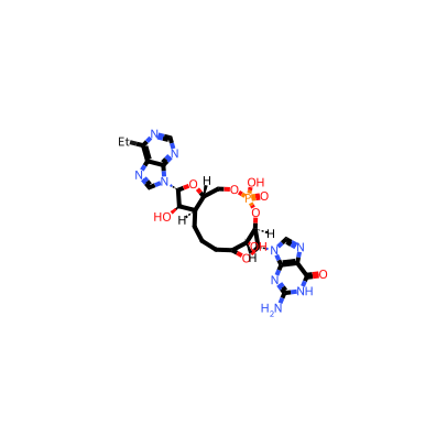 CCc1ncnc2c1ncn2[C@@H]1O[C@@H]2COP(=O)(O)O[C@@H]3[C@H](O)C(CCC[C@H]2[C@H]1O)O[C@H]3n1cnc2c(=O)[nH]c(N)nc21